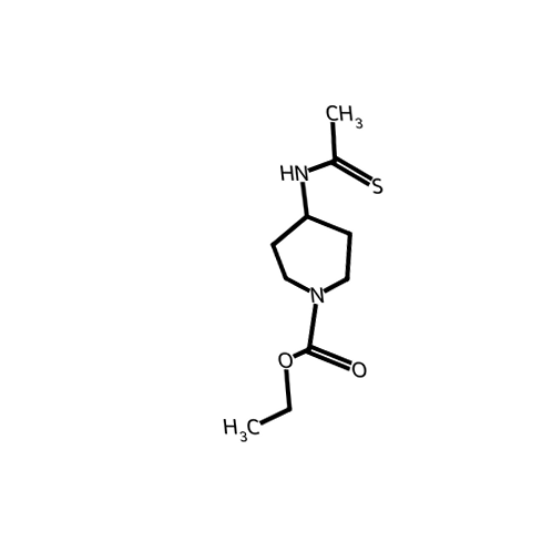 CCOC(=O)N1CCC(NC(C)=S)CC1